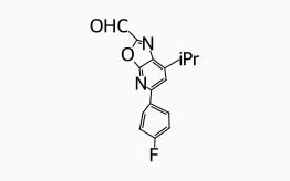 CC(C)c1cc(-c2ccc(F)cc2)nc2oc(C=O)nc12